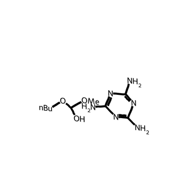 CCCCOC(O)OC.Nc1nc(N)nc(N)n1